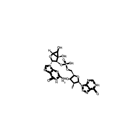 Nc1nc2c(ncn2[C@@H]2O[C@@H]3C(O)[C@]3(O)[C@H]2OP(=O)(S)OC[C@H]2O[C@@H](n3nnc4c(=O)[nH]cnc43)[C@@H](F)[C@@H]2O)c(=O)[nH]1